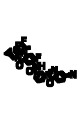 CC(C(F)F)n1c(=O)n(CC2CC2)c(=O)c2cc(NC(=O)N3CCCC(n4cnc5cc(C#N)ccc5c4=O)C3)c(F)cc21